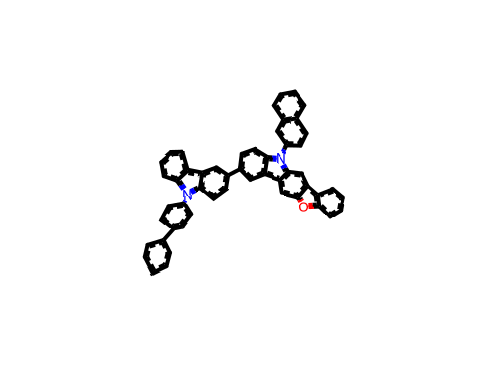 c1ccc(-c2ccc(-n3c4ccccc4c4cc(-c5ccc6c(c5)c5cc7oc8ccccc8c7cc5n6-c5ccc6ccccc6c5)ccc43)cc2)cc1